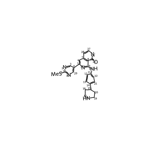 CSc1ncc(-c2cc3c(c(Nc4ccc(C5CCNCC5)cc4)n2)C(=O)[N]C=C3)cn1